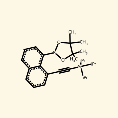 CC(C)[Si](C#Cc1cccc2c[c]cc(B3OC(C)(C)C(C)(C)O3)c12)(C(C)C)C(C)C